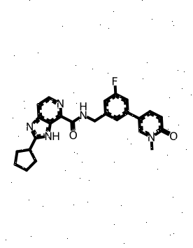 Cn1cc(-c2cc(F)cc(CNC(=O)c3nccc4nc(C5CCCC5)[nH]c34)c2)ccc1=O